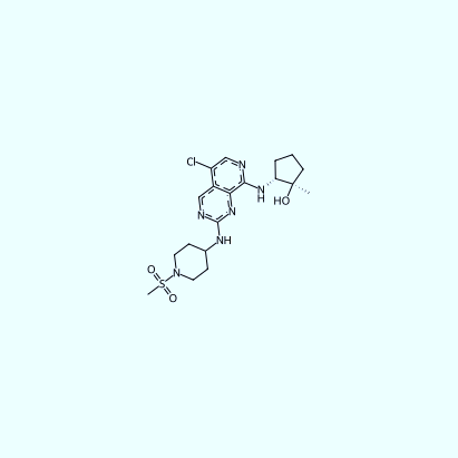 C[C@@]1(O)CCC[C@H]1Nc1ncc(Cl)c2cnc(NC3CCN(S(C)(=O)=O)CC3)nc12